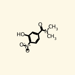 CN(C)C(=O)c1ccc([N+](=O)[O-])c(O)c1